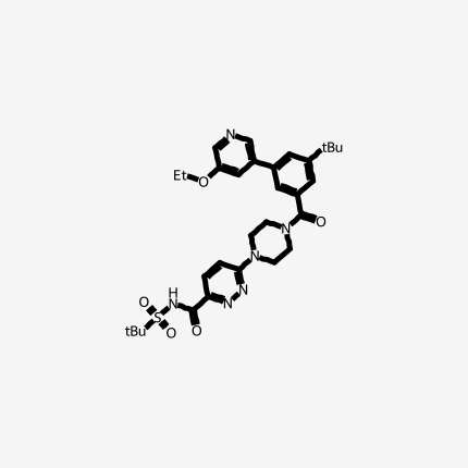 CCOc1cncc(-c2cc(C(=O)N3CCN(c4ccc(C(=O)NS(=O)(=O)C(C)(C)C)nn4)CC3)cc(C(C)(C)C)c2)c1